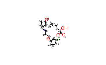 COC(=O)C(O)CC=C=CC[C@H]1C(=O)CC[C@@H]1/C=C/CCOc1cccc(F)c1